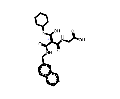 O=C(O)CNC(=O)/C(C(=O)NCc1ccc2ccccc2c1)=C(\O)NC1CCCCC1